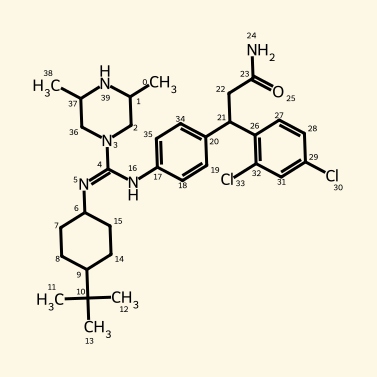 CC1CN(/C(=N/C2CCC(C(C)(C)C)CC2)Nc2ccc(C(CC(N)=O)c3ccc(Cl)cc3Cl)cc2)CC(C)N1